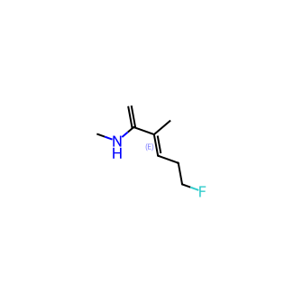 C=C(NC)/C(C)=C/CCF